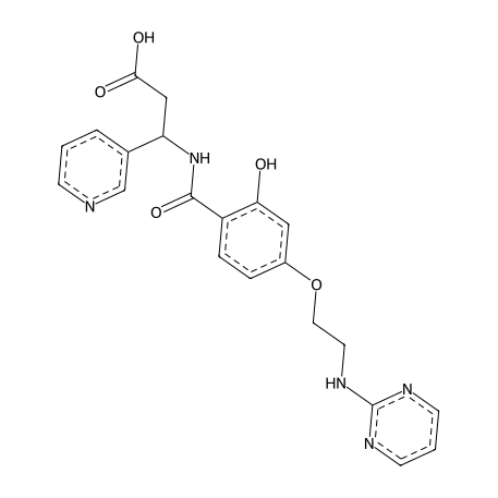 O=C(O)CC(NC(=O)c1ccc(OCCNc2ncccn2)cc1O)c1cccnc1